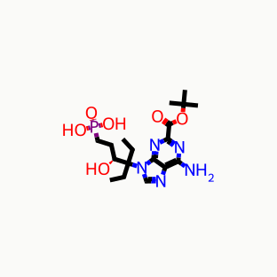 CCC(CC)([C@H](O)CCP(=O)(O)O)n1cnc2c(N)nc(C(=O)OC(C)(C)C)nc21